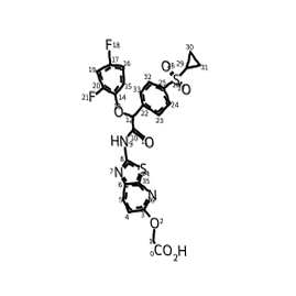 O=C(O)COc1ccc2nc(NC(=O)C(Oc3ccc(F)cc3F)c3ccc(S(=O)(=O)C4CC4)cc3)sc2n1